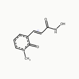 Cn1cccc(/C=C/C(=O)NO)c1=O